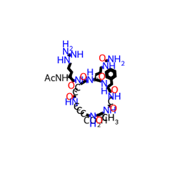 CC(=O)N[C@@H](CCCNC(=N)N)C(=O)NC1CCC(=O)NCCCC(C(=O)O)NC(=O)[C@H](C)NC(=O)CNC(=O)C(Cc2ccccc2)NC(=O)[C@H](CCCNC(N)=O)NC1=O